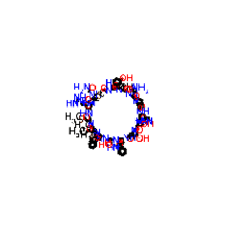 CCCC[C@H]1C(=O)N(C)[C@@H](CCSC)C(=O)N[C@@H](CCCNC(=N)N)C(=O)NC(C(=O)NCC(N)=O)CSCC(=O)N[C@@H](Cc2ccc(O)cc2)C(=O)N(C)[C@@H](C)C(=O)N[C@@H](CC(N)=O)C(=O)N2CCC[C@H]2C(=O)N[C@@H](Cc2cnc[nH]2)C(=O)N[C@@H](CO)C(=O)N2C[C@H](O)C[C@H]2C(=O)N[C@@H](Cc2c[nH]c3ccccc23)C(=O)N[C@@H](CO)C(=O)N[C@@H](Cc2csc3ccccc23)C(=O)N1C